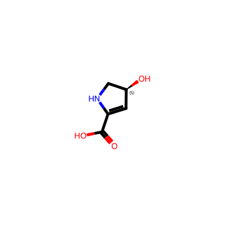 O=C(O)C1=C[C@H](O)CN1